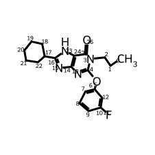 CCCn1c(Oc2cccc(F)c2)nc2nc(C3CCCCC3)[nH]c2c1=O